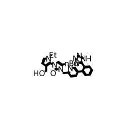 CCCCc1cn(-c2c(CO)ccn2CC)c(=O)n1Cc1ccc(-c2ccccc2-c2nnn[nH]2)cn1